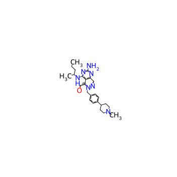 CCCC(C)Nc1nc(N)nc2c1[C@H](C=O)N(Cc1ccc(C3CCN(C)CC3)cc1)N=C2